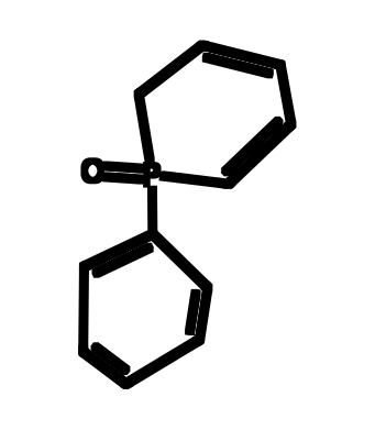 O=P1(c2ccccc2)C=CC=CC1